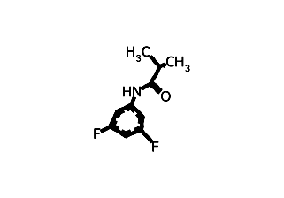 C[C](C)C(=O)Nc1cc(F)cc(F)c1